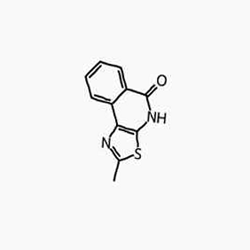 Cc1nc2c([nH]c(=O)c3ccccc32)s1